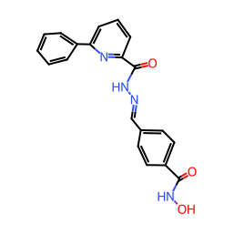 O=C(NO)c1ccc(/C=N/NC(=O)c2cccc(-c3ccccc3)n2)cc1